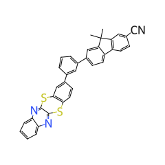 CC1(C)c2cc(C#N)ccc2-c2ccc(-c3cccc(-c4ccc5c(c4)Sc4nc6ccccc6nc4S5)c3)cc21